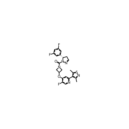 Cc1nsc(C)c1-c1cc(OC2CN(C(=O)N3N=CC[C@H]3c3cc(F)cc(F)c3)C2)c(F)cn1